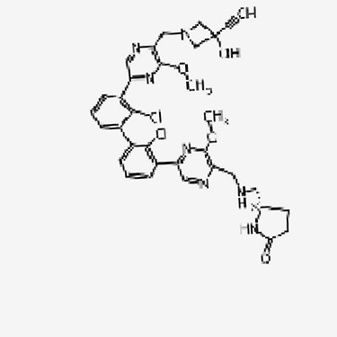 C#CC1(O)CN(Cc2ncc(-c3cccc(-c4cccc(-c5cnc(CNC[C@@H]6CCC(=O)N6)c(OC)n5)c4Cl)c3Cl)nc2OC)C1